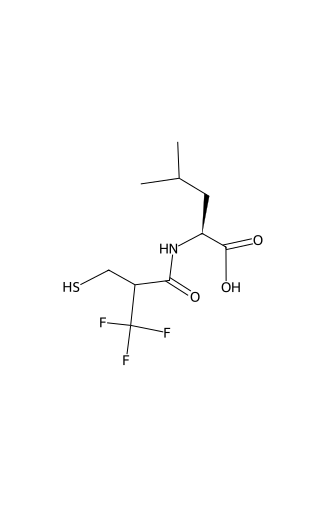 CC(C)C[C@H](NC(=O)C(CS)C(F)(F)F)C(=O)O